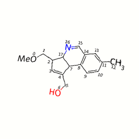 COCC1C=C(CO)C2c3ccc(C)cc3C=NC12